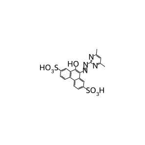 Cc1cc(C)nc(/N=N/c2c(O)c3cc(S(=O)(=O)O)ccc3c3ccc(S(=O)(=O)O)cc23)n1